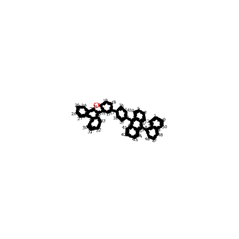 c1ccc2c(-c3c4ccccc4c(-c4ccc(-c5ccc6oc7c8ccccc8c8ccccc8c7c6c5)cc4)c4ccccc34)cccc2c1